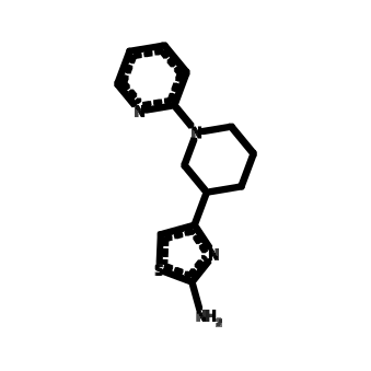 Nc1nc(C2CCCN(c3ccccn3)C2)cs1